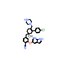 CC1(Cc2ccc(C#N)c(Oc3cnc4[nH]ccc4c3)c2)CCC(CN2CCNCC2)=C(c2ccc(Cl)cc2)C1